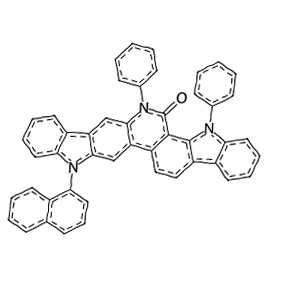 O=c1c2c(ccc3c4ccccc4n(-c4ccccc4)c32)c2cc3c(cc2n1-c1ccccc1)c1ccccc1n3-c1cccc2ccccc12